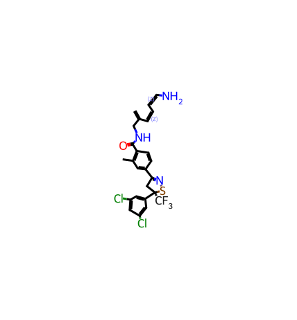 C=C(/C=C\C=C/N)CNC(=O)c1ccc(C2=NSC(c3cc(Cl)cc(Cl)c3)(C(F)(F)F)C2)cc1C